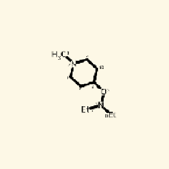 CCN(CC)OC1CCN(C)CC1